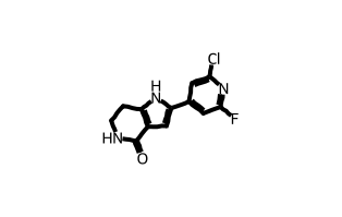 O=C1NCCc2[nH]c(-c3cc(F)nc(Cl)c3)cc21